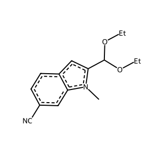 CCOC(OCC)c1cc2ccc(C#N)cc2n1C